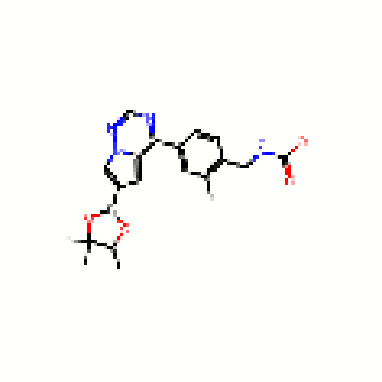 Cc1cc(-c2ncnn3cc(B4OC(C)C(C)(C)O4)cc23)ccc1CNC(=O)O